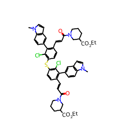 CCOC(=O)C1CCCN(C(=O)/C=C/c2ccc(Sc3ccc(/C=C/C(=O)N4CCCC(C(=O)OCC)C4)c(-c4ccc5c(ccn5C)c4)c3Cl)c(Cl)c2-c2ccc3c(ccn3C)c2)C1